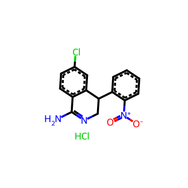 Cl.NC1=NCC(c2ccccc2[N+](=O)[O-])c2cc(Cl)ccc21